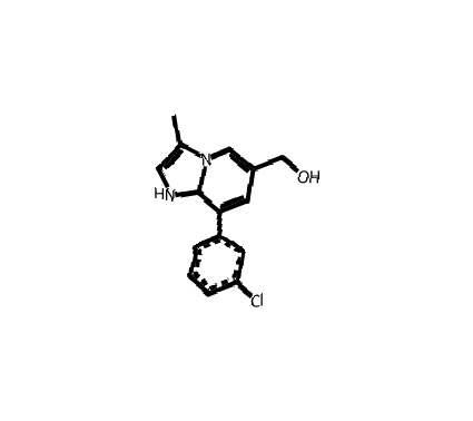 CC1=CNC2C(c3cccc(Cl)c3)=CC(CO)=CN12